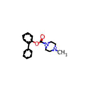 CN1CCN(C(=O)Oc2ccccc2-c2ccccc2)CC1